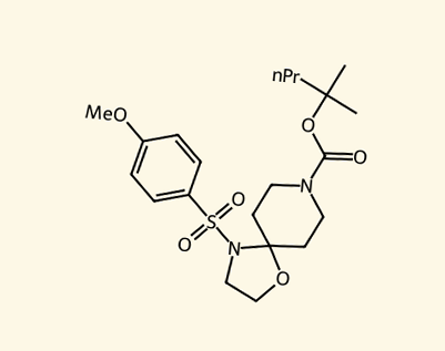 CCCC(C)(C)OC(=O)N1CCC2(CC1)OCCN2S(=O)(=O)c1ccc(OC)cc1